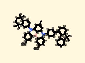 Cc1cc2c3c(c1)N(c1ccc4c(c1)C(C)(C)CCC4(C)C)c1ccc(C(C)(C)C)cc1B3c1cc(C(C)(C)C)ccc1N2c1ccc(-c2cccc3c2-c2ccccc2C3(C)C)cc1